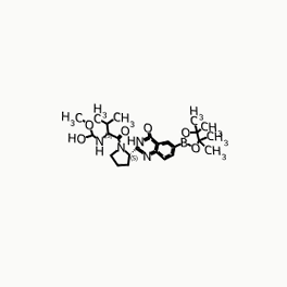 COC(O)N[C@H](C(=O)N1CCC[C@H]1c1nc2ccc(B3OC(C)(C)C(C)(C)O3)cc2c(=O)[nH]1)C(C)C